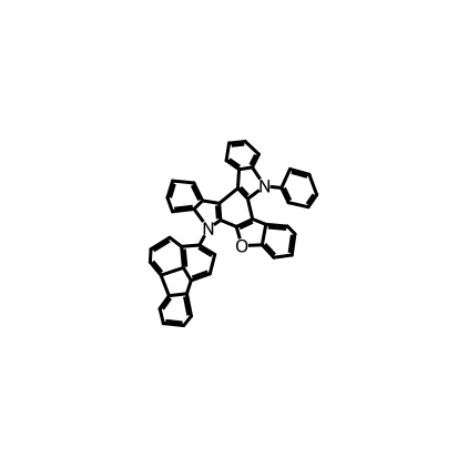 c1ccc(-n2c3ccccc3c3c4c5ccccc5n(-c5ccc6c7c(cccc57)-c5ccccc5-6)c4c4oc5ccccc5c4c32)cc1